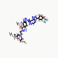 Cc1cc(Nc2nccn3c(-c4ccc(OC(F)F)cc4)cnc23)ccc1C(=O)NCCN1C[C@@H](C)O[C@@H](C)C1